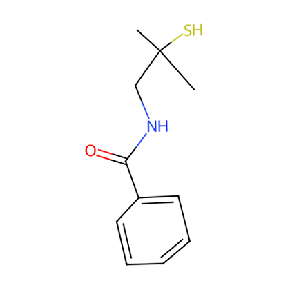 CC(C)(S)CNC(=O)c1ccccc1